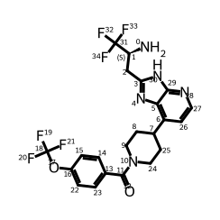 N[C@@H](Cc1nc2c(C3CCN(C(=O)c4ccc(OC(F)(F)F)cc4)CC3)ccnc2[nH]1)C(F)(F)F